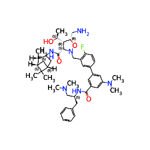 C[C@@H]1[C@@H](NC(=O)[C@@H]2[C@H]([C@H](C)O)[C@H](CN)ON2Cc2cc(-c3cc(C(=O)N[C@@H](Cc4ccccc4)CN(C)C)cc(N(C)C)c3)ccc2F)C[C@H]2C[C@@H]1C2(C)C